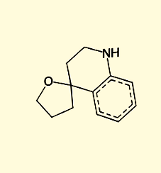 c1ccc2c(c1)NCCC21CCCO1